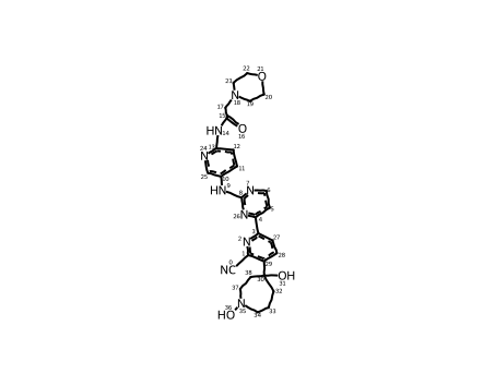 N#Cc1nc(-c2ccnc(Nc3ccc(NC(=O)CN4CCOCC4)nc3)n2)ccc1C1(O)CCCN(O)CC1